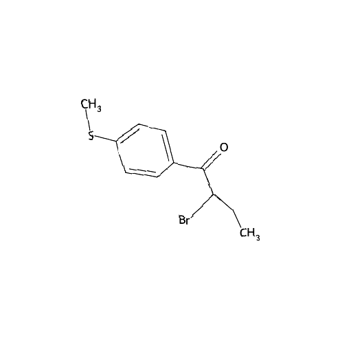 CCC(Br)C(=O)c1ccc(SC)cc1